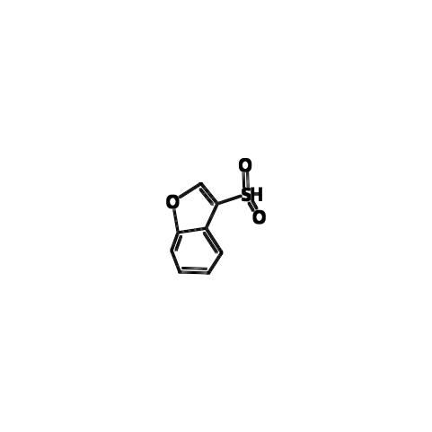 O=[SH](=O)c1coc2ccccc12